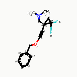 CN(C)C[C@@]1(C#COCc2ccccc2)CC1(F)F